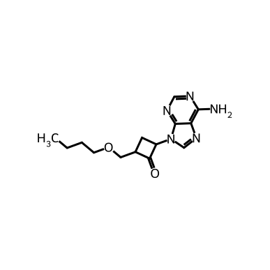 CCCCOCC1CC(n2cnc3c(N)ncnc32)C1=O